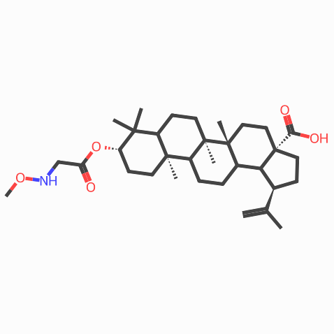 C=C(C)[C@@H]1CC[C@]2(C(=O)O)CC[C@]3(C)C(CCC4[C@@]5(C)CC[C@H](OC(=O)CNOC)C(C)(C)C5CC[C@]43C)C12